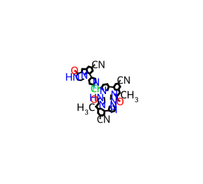 Cc1c2n(c3c(-c4ccc(Cl)nc4)cc(C#N)cc13)CCNC2=O.Cc1c2n(c3c(-c4cccnc4)cc(C#N)cc13)CCNC2=O.N#Cc1cc(-c2ccc(F)nc2)c2c(c1)cc1n2CCCNC1=O